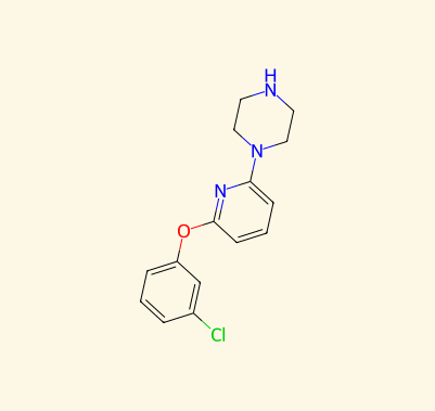 Clc1cccc(Oc2cccc(N3CCNCC3)n2)c1